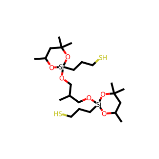 CC(CO[Si]1(CCCS)OC(C)CC(C)(C)O1)CO[Si]1(CCCS)OC(C)CC(C)(C)O1